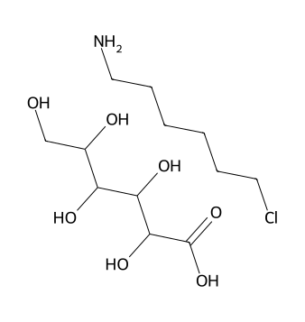 NCCCCCCCl.O=C(O)C(O)C(O)C(O)C(O)CO